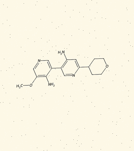 COc1cncc(-c2cnc(C3CCOCC3)cc2N)c1N